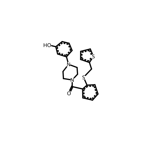 O=C(c1ccccc1SCc1cccs1)N1CCN(c2cccc(O)c2)CC1